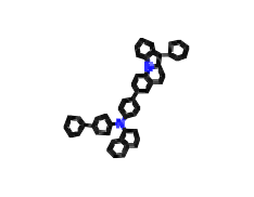 c1ccc(-c2ccc(N(c3ccc(-c4ccc5c(ccc6c(-c7ccccc7)c7ccccc7n65)c4)cc3)c3cccc4ccccc34)cc2)cc1